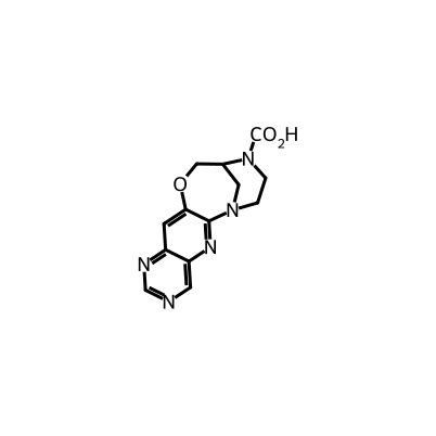 O=C(O)N1CCN2CC1COc1cc3ncncc3nc12